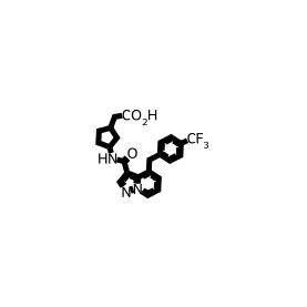 O=C(O)CC1CCC(NC(=O)c2cnn3cccc(Cc4ccc(C(F)(F)F)cc4)c23)C1